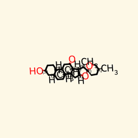 C[C@@H]1CC[C@@]2(OC1)O[C@H]1C[C@H]3[C@@H]4CC[C@H]5C[C@@H](O)CC[C@]5(C)[C@H]4CC(=O)[C@]3(C)[C@H]1[C@@H]2C